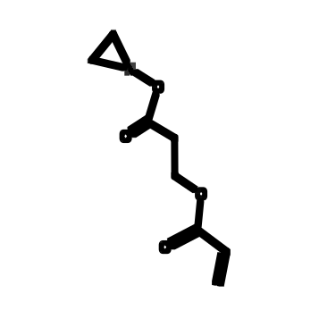 C=CC(=O)OCCC(=O)ON1CC1